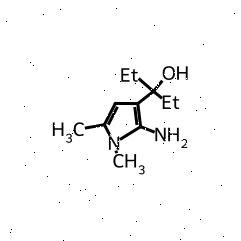 CCC(O)(CC)c1cc(C)n(C)c1N